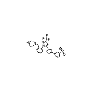 CN1CCN(Cc2ccccc2-n2nc(C(F)(F)F)cc2-c2cc(-c3cccc(S(C)(=O)=O)c3)cs2)CC1